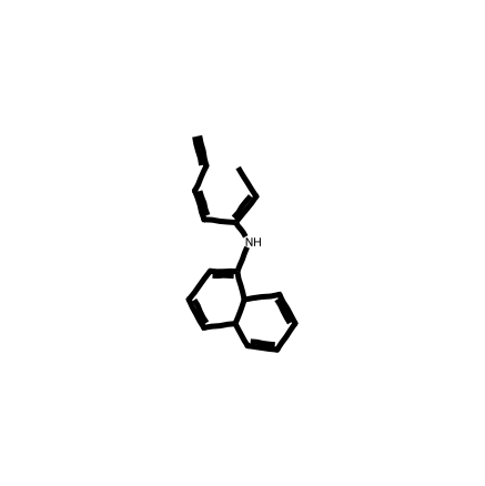 C=C/C=C\C(=C/C)NC1=CC=CC2C=CC=CC12